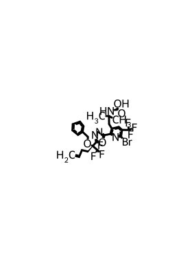 C=CCC[C@@](OCc1ccccc1)(c1nnc(-c2nc(Br)c(C(F)(F)F)cc2CC(C)(C)NC(=O)O)o1)C(F)(F)F